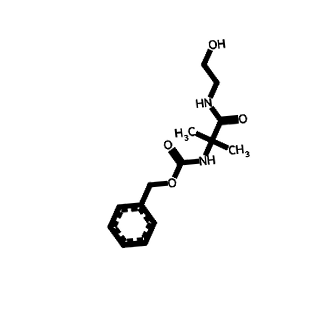 CC(C)(NC(=O)OCc1ccccc1)C(=O)NCCO